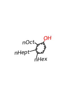 CCCCCCCCc1c(O)ccc(CCCCCC)c1CCCCCCC